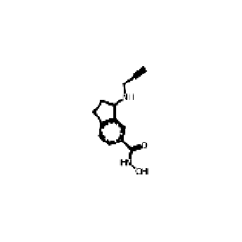 C#CCNC1CCc2ccc(C(=O)NO)cc21